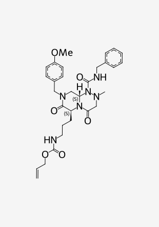 C=CCOC(=O)NCCC[C@H]1C(=O)N(Cc2ccc(OC)cc2)C[C@H]2N1C(=O)CN(C)N2C(=O)NCc1ccccc1